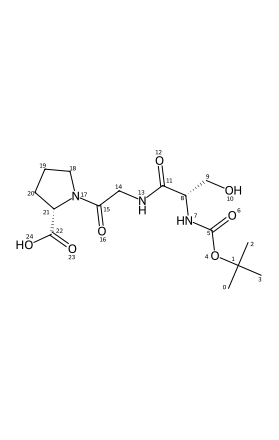 CC(C)(C)OC(=O)N[C@@H](CO)C(=O)NCC(=O)N1CCC[C@H]1C(=O)O